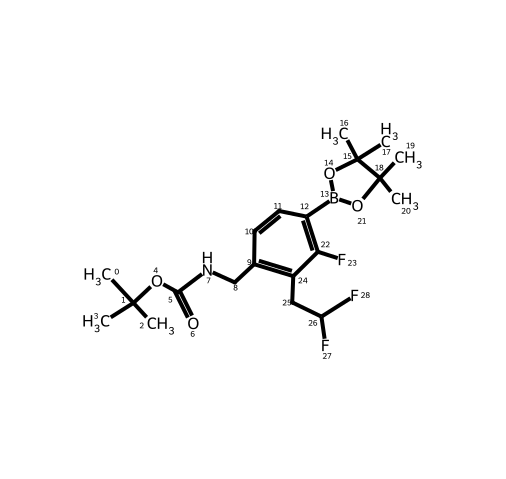 CC(C)(C)OC(=O)NCc1ccc(B2OC(C)(C)C(C)(C)O2)c(F)c1CC(F)F